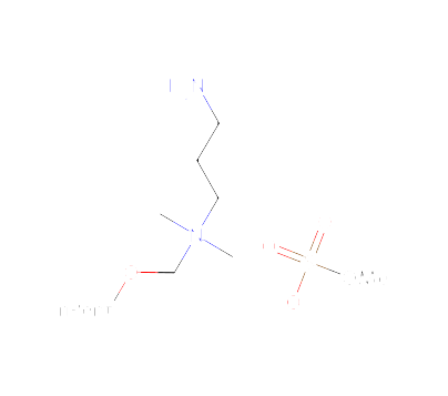 CCCCCOC[N+](C)(C)CCCN.COS(=O)(=O)[O-]